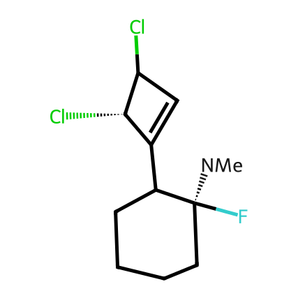 CN[C@]1(F)CCCCC1C1=CC(Cl)[C@H]1Cl